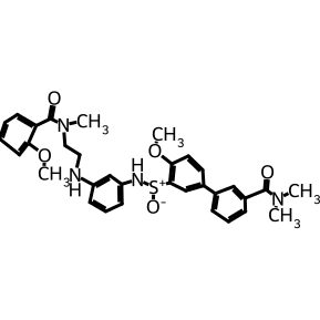 COc1ccccc1C(=O)N(C)CCNc1cccc(N[S+]([O-])c2cc(-c3cccc(C(=O)N(C)C)c3)ccc2OC)c1